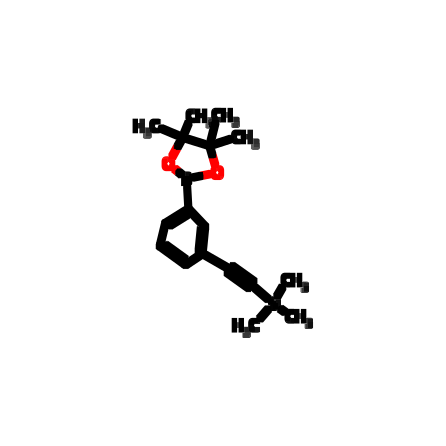 CC1(C)OB(c2cccc(C#C[Si](C)(C)C)c2)OC1(C)C